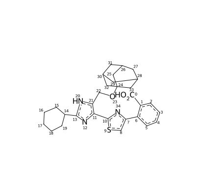 O=C(O)c1ccccc1-c1csc(-c2nc(C3CCCCC3)[nH]c2COC23CC4CC(CC(C4)C2)C3)n1